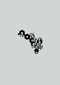 Cc1cccc(-c2ccc(-c3cc4cnc(NC5COC5)nc4n(C[C@H]4CNCCO4)c3=O)c(Cl)c2)n1